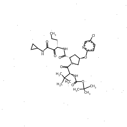 CCC[C@H](NC(=O)[C@@H]1C[C@@H](Oc2ccc(Cl)cn2)CN1C(=O)[C@@H](NC(=O)OC(C)(C)C)C(C)(C)C)C(=O)C(=O)NC1CC1